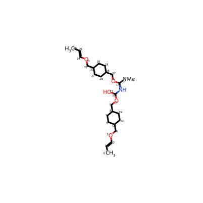 C/C=C/OCC1CCC(COC(O)NC(NC)OCC2CCC(CO/C=C/C)CC2)CC1